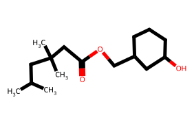 CC(C)CC(C)(C)CC(=O)OCC1CCCC(O)C1